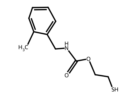 Cc1ccccc1CNC(=O)OCCS